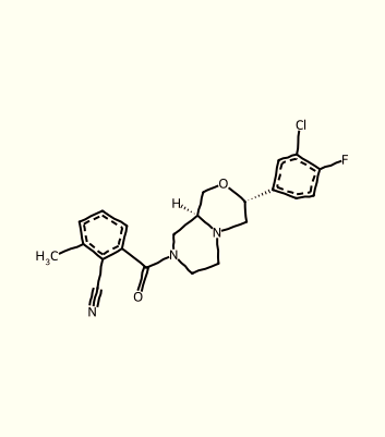 Cc1cccc(C(=O)N2CCN3C[C@@H](c4ccc(F)c(Cl)c4)OC[C@@H]3C2)c1C#N